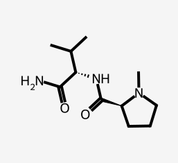 CC(C)[C@H](NC(=O)[C@@H]1CCCN1C)C(N)=O